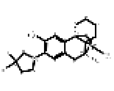 Cc1cc2c(cc1N1CCC(F)(F)C1)C[C@H]1[C@H]3CCCC[C@@]23CCN1C